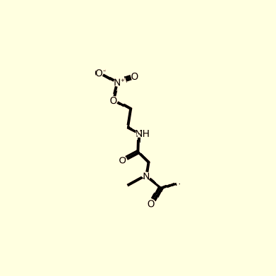 [CH2]C(=O)N(C)CC(=O)NCCO[N+](=O)[O-]